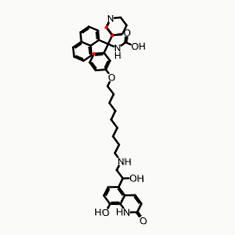 O=C(O)NC(c1cccc(OCCCCCCCCCNCC(O)c2ccc(O)c3[nH]c(=O)ccc23)c1)(c1cccc2ccccc12)C1CN2CCC1CC2